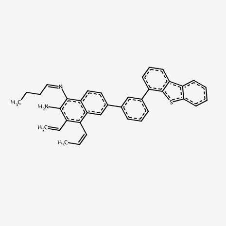 C=Cc1c(N)c(/N=C\CCC)c2ccc(-c3cccc(-c4cccc5c4sc4ccccc45)c3)cc2c1/C=C\C